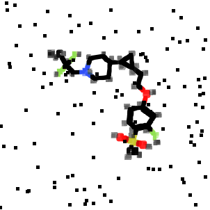 CC(F)(F)CN1CCC([C@H]2C[C@H]2CCOc2ccc(S(C)(=O)=O)c(F)c2)CC1